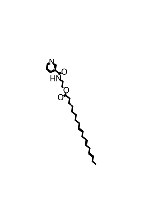 CCC=CCC=CCC=CCCCCCCCC(=O)OCCNC(=O)c1cccnc1